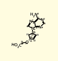 Nc1ncnc2c1ncn2[C@H]1C=C[C@H](OCC(=O)O)C1